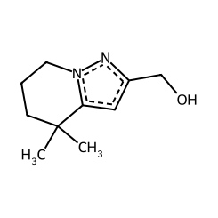 CC1(C)CCCn2nc(CO)cc21